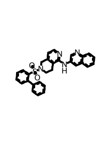 O=S(=O)(c1ccccc1-c1ccccc1)N1CCc2c(ccnc2Nc2cnc3ccccc3c2)C1